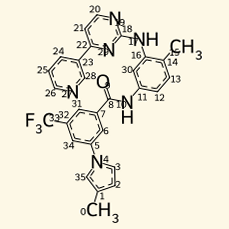 Cc1ccn(-c2cc(C(=O)Nc3ccc(C)c(Nc4nccc(-c5cccnc5)n4)c3)cc(C(F)(F)F)c2)c1